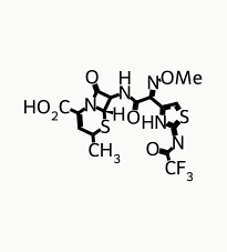 CON=C(C(=O)NC1C(=O)N2C(C(=O)O)=CC(C)S[C@@H]12)c1csc(=NC(=O)C(F)(F)F)[nH]1